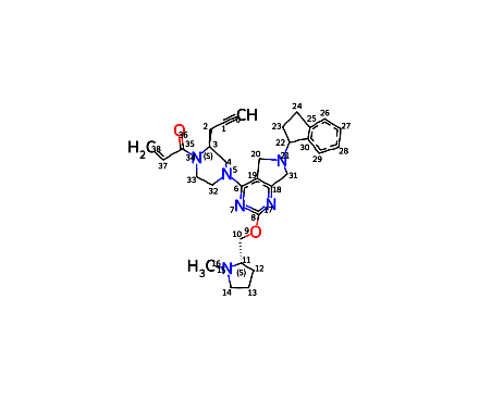 C#CC[C@H]1CN(c2nc(OC[C@@H]3CCCN3C)nc3c2CN(C2CCc4ccccc42)C3)CCN1C(=O)C=C